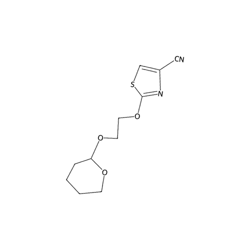 N#Cc1csc(OCCOC2CCCCO2)n1